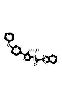 O=C(Nc1csc(-c2ccc(Oc3ccccc3)cc2)c1C(=O)O)c1nc2ccccc2o1